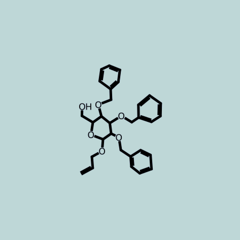 C=CCOC1OC(CO)C(OCc2ccccc2)C(OCc2ccccc2)C1OCc1ccccc1